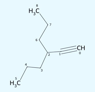 C#CC(CCC)CCC